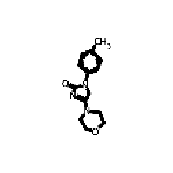 Cc1ccc(N2CC(N3CCOCC3)=NC2=O)cc1